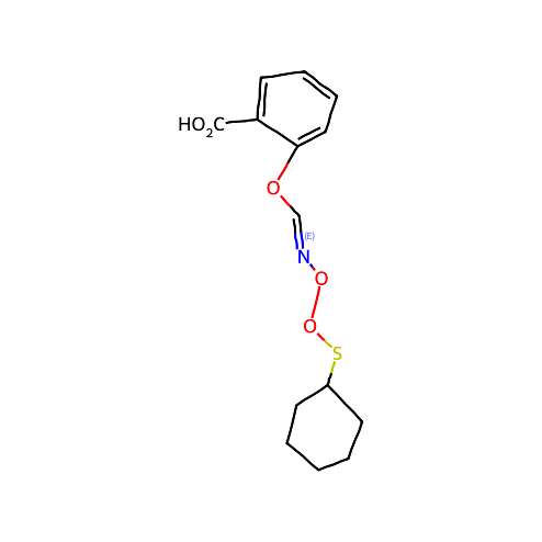 O=C(O)c1ccccc1O/C=N/OOSC1CCCCC1